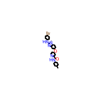 Cc1ccc(NC(=O)c2cc(Oc3ccc4c(c3)nc(Nc3ccc(Br)cc3)n4C)ccn2)cc1